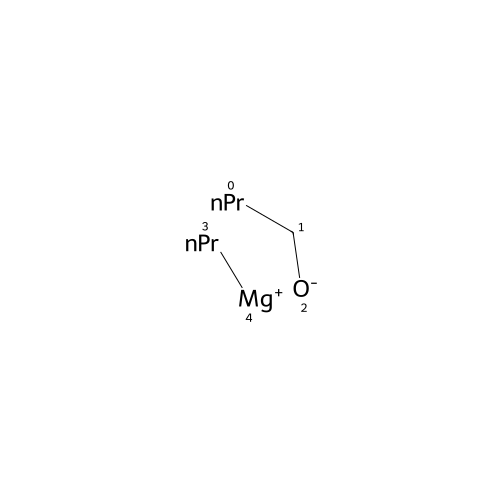 CCCC[O-].CC[CH2][Mg+]